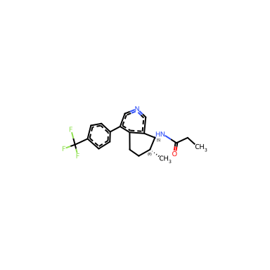 CCC(=O)N[C@@H]1c2cncc(-c3ccc(C(F)(F)F)cc3)c2CC[C@H]1C